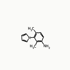 Cc1ccc(N)c(C)c1-n1cccc1